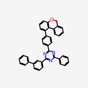 c1ccc(-c2cccc(-c3nc(-c4ccccc4)nc(-c4ccc(-c5cccc6c5-c5ccccc5CO6)cc4)n3)c2)cc1